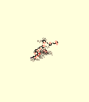 C=C1C[C@H](CCC2OCCO2)O[C@H]1CC[C@H]1C[C@H](C)C(=C)[C@@H](C[C@@H]2O[C@H](C[C@@H](CO[Si](C)(C)C(C)(C)C)O[Si](C)(C)C(C)(C)C)C(C)[C@H]2CC(=O)C[C@H]2CC[C@@H]3OC([C@H](/C=C/I)O[Si](C)(C)C(C)(C)C)C(O[Si](C)(C)C(C)(C)C)C(O[Si](C)(C)C(C)(C)C)C3O2)O1